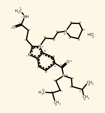 CNC(=O)CCc1nc2ccc(C(=O)N(CCC(C)C)CCC(C)C)cc2n1CCCN1CCCCC1.Cl